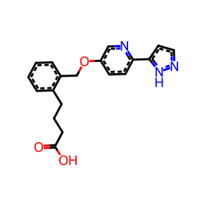 O=C(O)CCCc1ccccc1COc1ccc(-c2ccn[nH]2)nc1